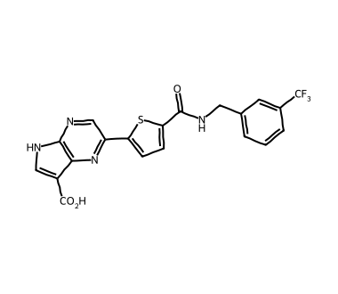 O=C(NCc1cccc(C(F)(F)F)c1)c1ccc(-c2cnc3[nH]cc(C(=O)O)c3n2)s1